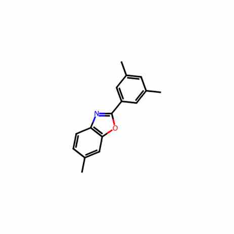 Cc1cc(C)cc(-c2nc3ccc(C)cc3o2)c1